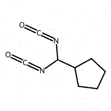 O=C=NC(N=C=O)C1CCCC1